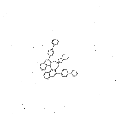 CCCC[N+]1(CCCC)Cc2c(-c3ccc(-c4ccccc4)cc3)cc3ccccc3c2-c2c(c(-c3ccc(-c4ccccc4)cc3)cc3ccccc23)C1